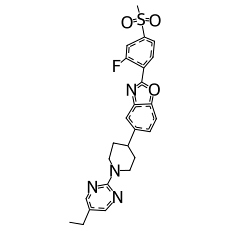 CCc1cnc(N2CCC(c3ccc4oc(-c5ccc(S(C)(=O)=O)cc5F)nc4c3)CC2)nc1